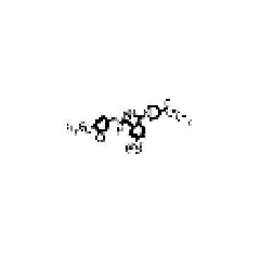 CCOC(=O)C1CCN(c2nnc(NCc3ccc(OC)c(Cl)c3)c3cc([N+](=O)[O-])ccc23)CC1